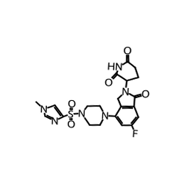 Cn1cnc(S(=O)(=O)N2CCN(c3cc(F)cc4c3CN(C3CCC(=O)NC3=O)C4=O)CC2)c1